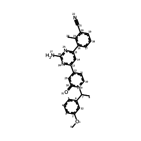 COc1cccc(C(C)n2ccc(-c3cc(-c4cccc(C#N)c4C)nc(N)n3)cc2=O)c1